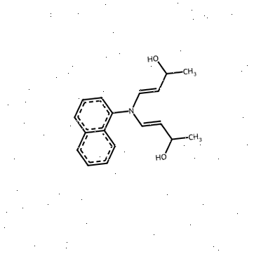 CC(O)C=CN(C=CC(C)O)c1cccc2ccccc12